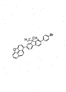 CC1(C)c2cc(-c3ccc(Br)cc3)ccc2-c2ccc(-c3ccc4oc5cccc6ccc3c4c65)cc21